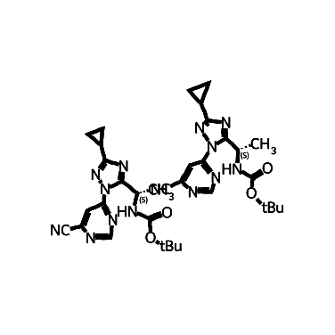 C[C@H](NC(=O)OC(C)(C)C)c1nc(C2CC2)nn1-c1cc(C#N)ncn1.C[C@H](NC(=O)OC(C)(C)C)c1nc(C2CC2)nn1-c1cc(C#N)ncn1